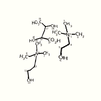 C[N+](C)(C)CCO.C[N+](C)(C)CCO.O=C(O)C(O)C(O)C(=O)O